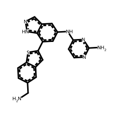 NCc1ccc2sc(-c3cc(Nc4ccnc(N)n4)cc4cn[nH]c34)cc2c1